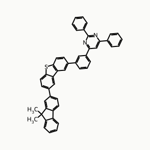 CC1(C)c2ccccc2-c2ccc(-c3ccc4sc5ccc(-c6cccc(-c7cc(-c8ccccc8)nc(-c8ccccc8)n7)c6)cc5c4c3)cc21